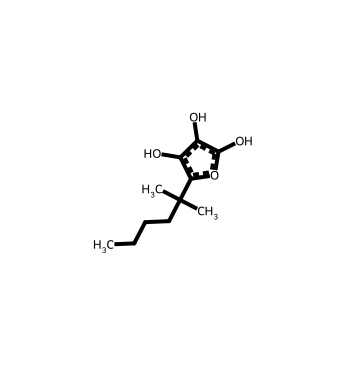 CCCCC(C)(C)c1oc(O)c(O)c1O